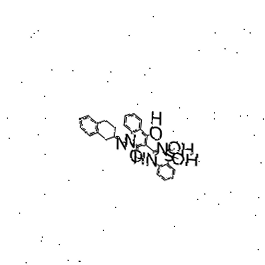 O=c1c(C2=NS(O)(O)c3ccccc3N2)c(O)c2ccccc2n1N=C1CCc2ccccc2C1